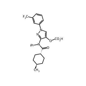 CC(C)N(c1nn(-c2cccc(C(F)(F)F)c2)cc1OC(=O)O)C(=O)[C@H]1CC[C@H](C)CC1